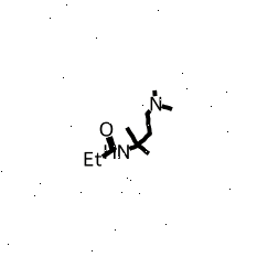 CCC(=O)NC(C)(C)CCN(C)C